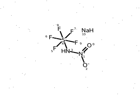 O=[N+]([O-])NS(F)(F)(F)(F)F.[NaH]